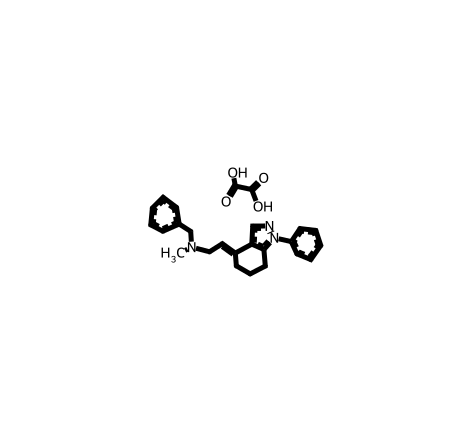 CN(CC=C1CCCc2c1cnn2-c1ccccc1)Cc1ccccc1.O=C(O)C(=O)O